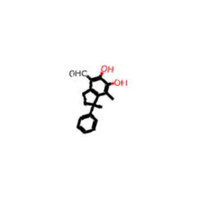 Cc1c(O)c(O)c(C=O)c2c1C(C)(c1ccccc1)CC2